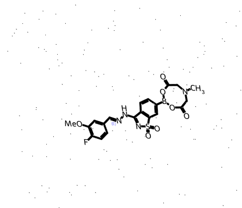 COc1cc(/C=N/NC2=NS(=O)(=O)c3cc(B4OC(=O)CN(C)CC(=O)O4)ccc32)ccc1F